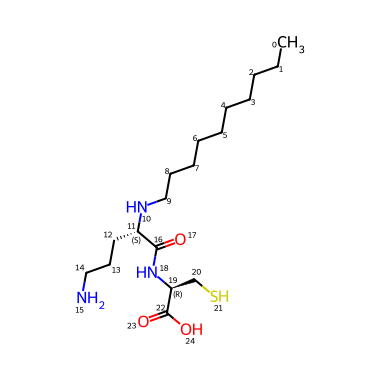 CCCCCCCCCCN[C@@H](CCCN)C(=O)N[C@@H](CS)C(=O)O